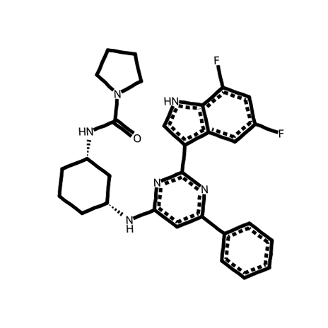 O=C(N[C@H]1CCC[C@@H](Nc2cc(-c3ccccc3)nc(-c3c[nH]c4c(F)cc(F)cc34)n2)C1)N1CCCC1